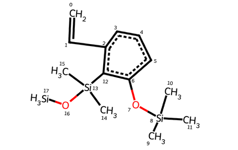 C=Cc1cccc(O[Si](C)(C)C)c1[Si](C)(C)O[SiH3]